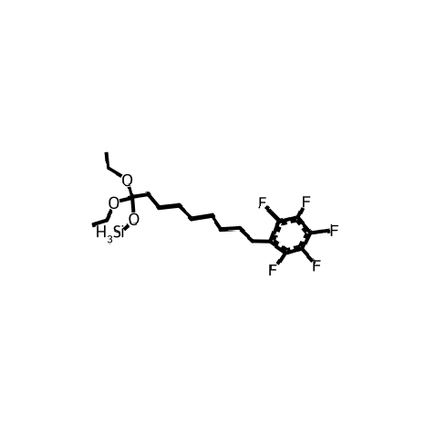 CCOC(CCCCCCCCc1c(F)c(F)c(F)c(F)c1F)(O[SiH3])OCC